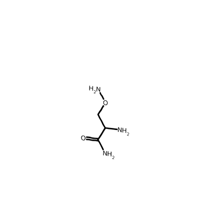 NOCC(N)C(N)=O